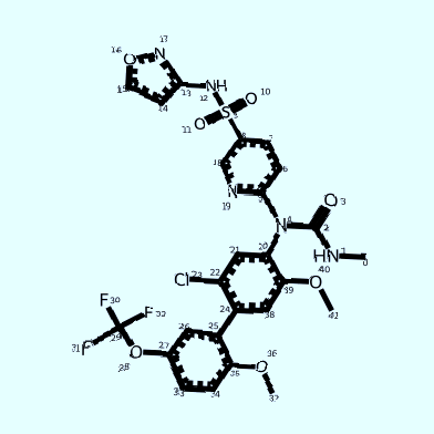 CNC(=O)N(c1ccc(S(=O)(=O)Nc2ccon2)cn1)c1cc(Cl)c(-c2cc(OC(F)(F)F)ccc2OC)cc1OC